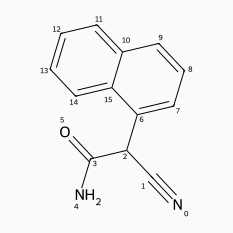 N#CC(C(N)=O)c1cccc2ccccc12